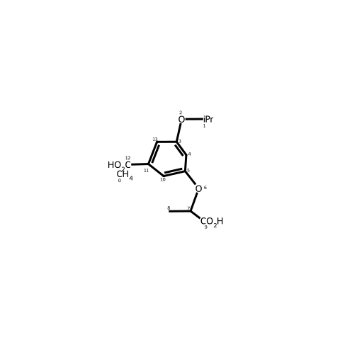 C.CC(C)Oc1cc(OC(C)C(=O)O)cc(C(=O)O)c1